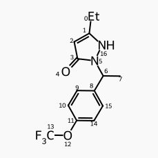 CCc1cc(=O)n(C(C)c2ccc(OC(F)(F)F)cc2)[nH]1